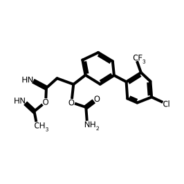 CC(=N)OC(=N)CC(OC(N)=O)c1cccc(-c2ccc(Cl)cc2C(F)(F)F)c1